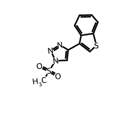 CS(=O)(=O)n1cc(-c2csc3ccccc23)nn1